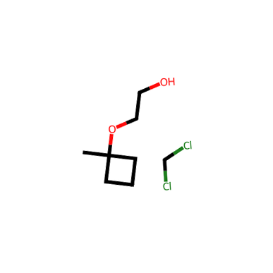 CC1(OCCO)CCC1.ClCCl